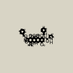 COc1cc(NC(=O)[C@@H]2CCCN2)c(OCc2ccccc2)c2c1C[C@H]1C[C@H]3[C@H](N(C)C)c4onc(OCc5ccccc5)c4C(=O)[C@@]3(O)C(O)=C1C2=O